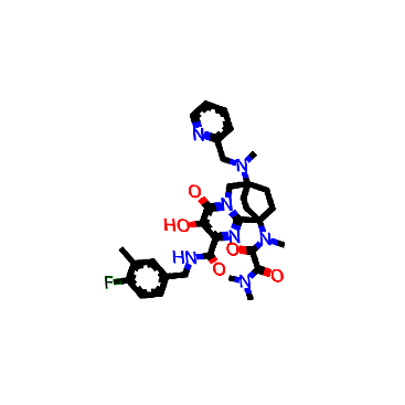 Cc1cc(CNC(=O)c2nc3n(c(=O)c2O)CC2(N(C)Cc4ccccn4)CCC3(N(C)C(=O)C(=O)N(C)C)CC2)ccc1F